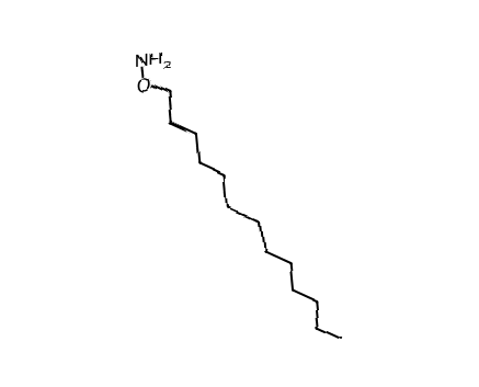 CCCCCCCCCCCCCON